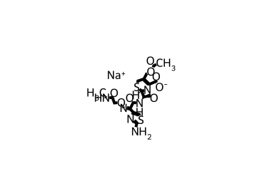 CNC(=O)CO/N=C(\C(=O)N[C@@H]1C(=O)N2C(C(=O)[O-])=C(COC(C)=O)CS[C@H]12)c1csc(N)n1.[Na+]